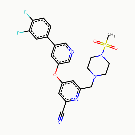 CS(=O)(=O)N1CCN(Cc2cc(Oc3cncc(-c4ccc(F)c(F)c4)c3)cc(C#N)n2)CC1